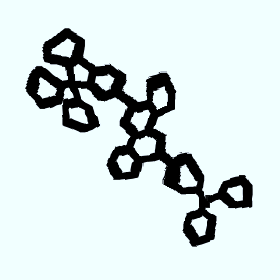 c1ccc(N(c2ccccc2)c2ccc(-c3cc4c5ccccc5c(-c5ccc6c(c5)C(c5ccccc5)(c5ccccc5)c5ccccc5-6)cc4c4ccccc34)cc2)cc1